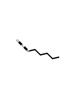 CCC[CH]CN=C=O